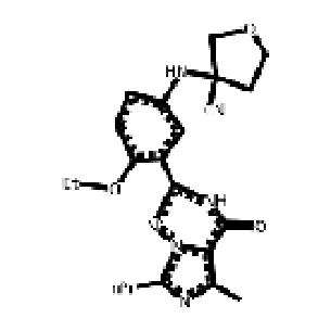 CCCc1nc(C)c2c(=O)[nH]c(-c3cc(NC4(C#N)CCOC4)ccc3OCC)nn12